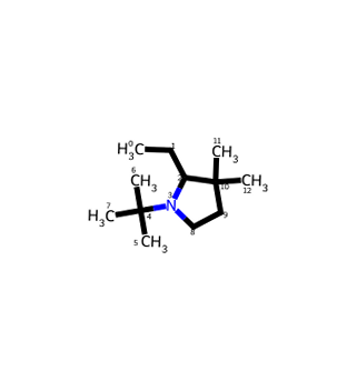 CCC1N(C(C)(C)C)CCC1(C)C